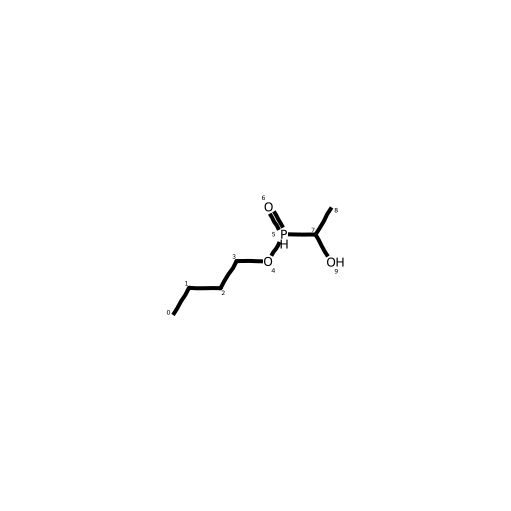 CCCCO[PH](=O)C(C)O